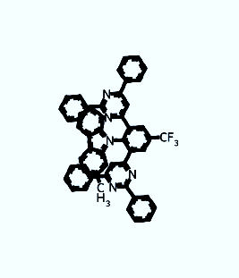 Cc1ccc2c3ccccc3n(-c3c(-c4cc(-c5ccccc5)nc(-c5ccccc5)n4)cc(C(F)(F)F)cc3-c3cc(-c4ccccc4)nc(-c4ccccc4)n3)c2c1